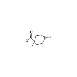 O=C1OCCC12CCN(I)CC2